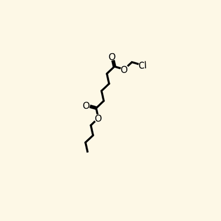 CCCCOC(=O)CCCCC(=O)OCCl